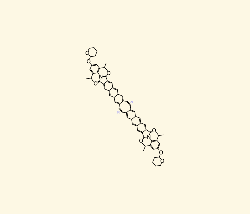 CC(C)c1cc(OC2CCCCO2)cc(C(C)C)c1N1C(=O)c2cc3c(cc2C1=O)=CC1C=C2/C=C\C4=CC5C=c6cc7c(cc6=CC5C=C4/C=C\C2=CC1C=3)C(=O)N(c1c(C(C)C)cc(OC2CCCCO2)cc1C(C)C)C7=O